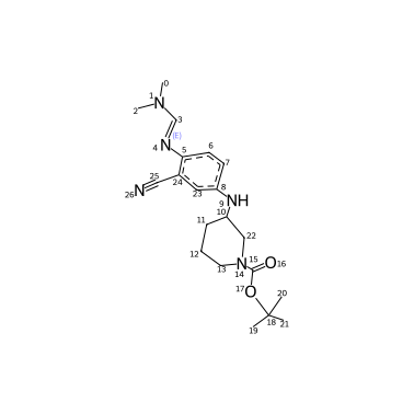 CN(C)/C=N/c1ccc(NC2CCCN(C(=O)OC(C)(C)C)C2)cc1C#N